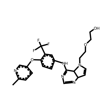 Cc1ccc(Oc2ccc(NC3=NC=NC4C=CN(CCOCCO)C34)cc2C(F)(F)F)cn1